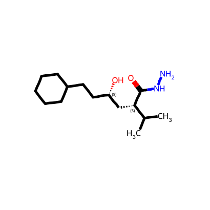 CC(C)[C@H](C[C@@H](O)CCC1CCCCC1)C(=O)NN